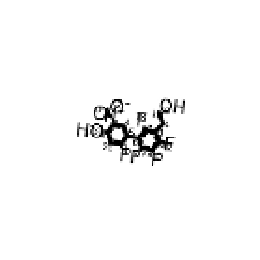 O=[N+]([O-])c1cc(-c2c(F)c(F)c(F)c(CCO)c2F)c(F)cc1O